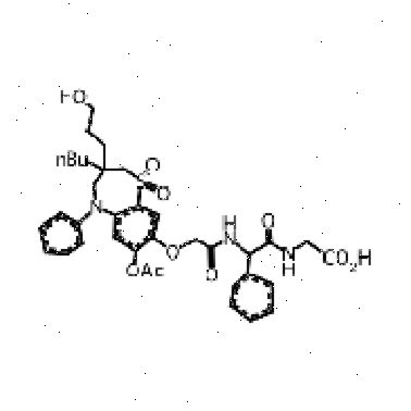 CCCCC1(CCCO)CN(c2ccccc2)c2cc(OC(C)=O)c(OCC(=O)NC(C(=O)NCC(=O)O)c3ccccc3)cc2S(=O)(=O)C1